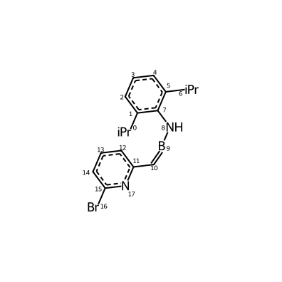 CC(C)c1cccc(C(C)C)c1NB=Cc1cccc(Br)n1